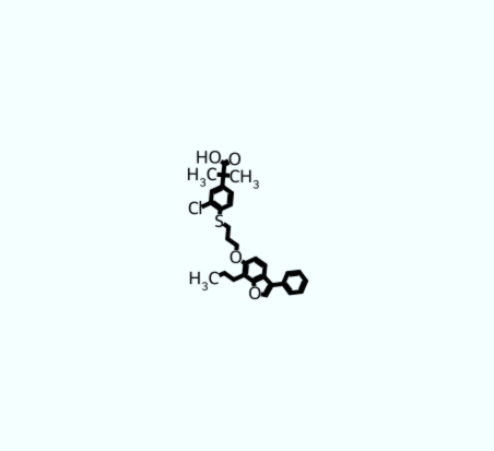 CCCc1c(OCCCSc2ccc(C(C)(C)C(=O)O)cc2Cl)ccc2c(-c3ccccc3)coc12